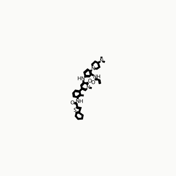 C=CC(=O)Nc1cc(Nc2cc(-c3cccc(NC(=O)c4cc5c(s4)CCCC5)c3C)cn(C)c2=O)ccc1N1CCC(N(C)C)CC1